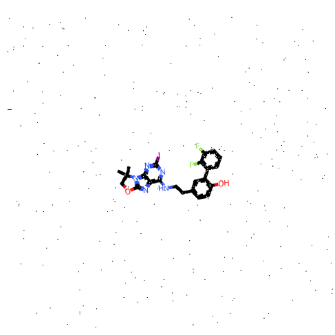 CC1(C)COc2nc3c(NCCc4ccc(O)c(-c5cccc(F)c5F)c4)nc(I)nc3n21